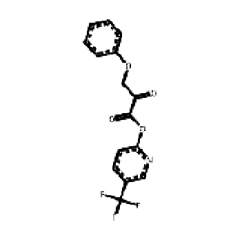 O=C(COc1ccccc1)C(=O)Oc1ccc(C(F)(F)F)cn1